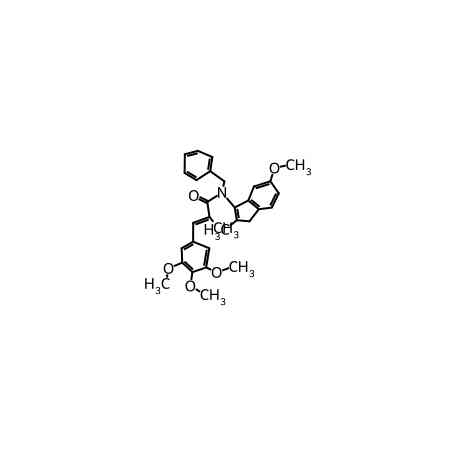 COc1ccc2c(c1)C(N(Cc1ccccc1)C(=O)C(C)=Cc1cc(OC)c(OC)c(OC)c1)=C(C)C2